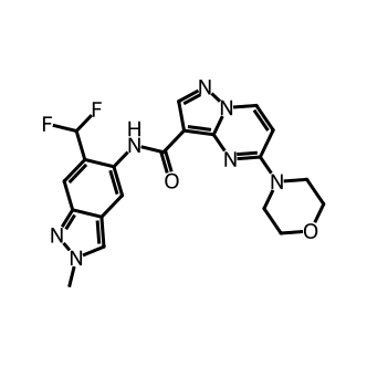 Cn1cc2cc(NC(=O)c3cnn4ccc(N5CCOCC5)nc34)c(C(F)F)cc2n1